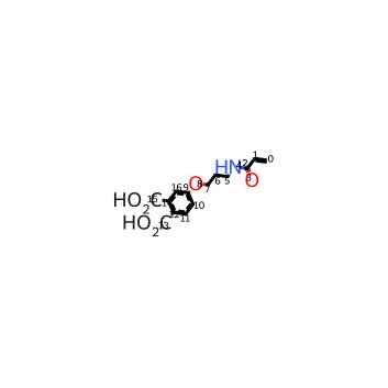 C=CC(=O)NCCCOc1ccc(C(=O)O)c(C(=O)O)c1